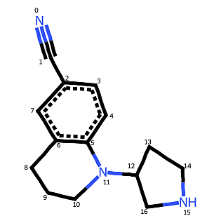 N#Cc1ccc2c(c1)CCCN2C1CCNC1